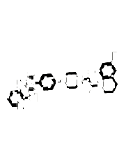 C[C@@H](C(=O)N1CCN(c2ccc(S(=O)(=O)Nc3cccnc3Cl)cc2)CC1)N1CCCc2cc(F)ccc21